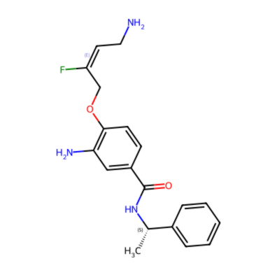 C[C@H](NC(=O)c1ccc(OC/C(F)=C\CN)c(N)c1)c1ccccc1